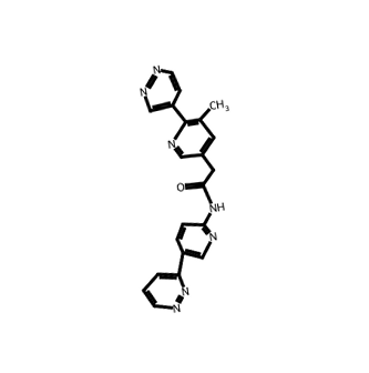 Cc1cc(CC(=O)Nc2ccc(-c3cccnn3)cn2)cnc1-c1ccnnc1